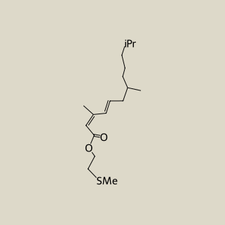 CSCCOC(=O)C=C(C)C=CCC(C)CCCC(C)C